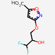 O=C(O)c1cc(OCC(O)C(F)F)no1